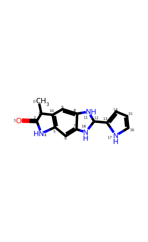 CC1C(=O)Nc2cc3c(cc21)NC(c1ccc[nH]1)N3